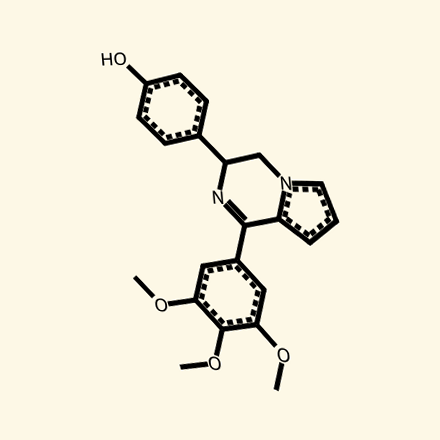 COc1cc(C2=NC(c3ccc(O)cc3)Cn3cccc32)cc(OC)c1OC